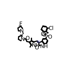 Cc1[nH]c(/C=C2\C(=O)Nc3ccc(S(=O)(=O)Cc4c(Cl)cccc4Cl)cc32)c(C)c1CC(=O)N1CCC[C@@H]1CN1CC[C@@H](F)C1